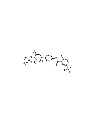 CN(CC(O)c1ccc(OC(=O)c2cc(C(F)(F)F)ccc2F)cc1)C(=O)OC(C)(C)C